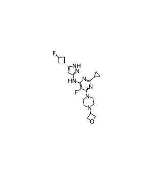 Fc1c(Nc2cc([C@H]3C[C@H](F)C3)[nH]n2)nc(C2CC2)nc1N1CCN(C2COC2)CC1